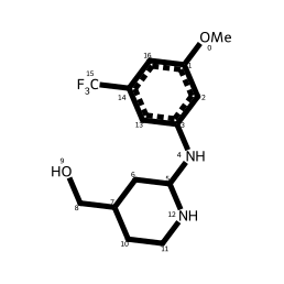 COc1cc(NC2CC(CO)CCN2)cc(C(F)(F)F)c1